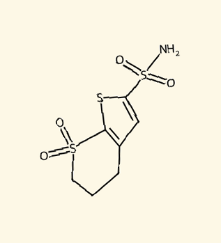 NS(=O)(=O)c1cc2c(s1)S(=O)(=O)CCC2